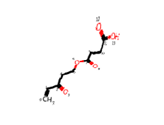 C=CC(=O)CCOC(=O)C=CC(=O)O